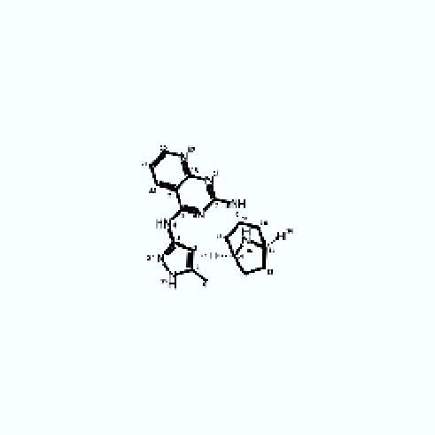 Cc1cc(Nc2nc(N[C@@H]3C[C@H]4CC[C@@H](C3)N4)nc3ncccc23)n[nH]1